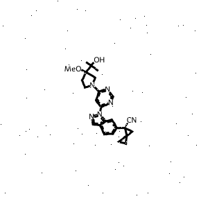 COC1(C(C)(C)O)CCN(c2cc(-n3ncc4ccc([C@]5(C#N)CC56CC6)cc43)ncn2)C1